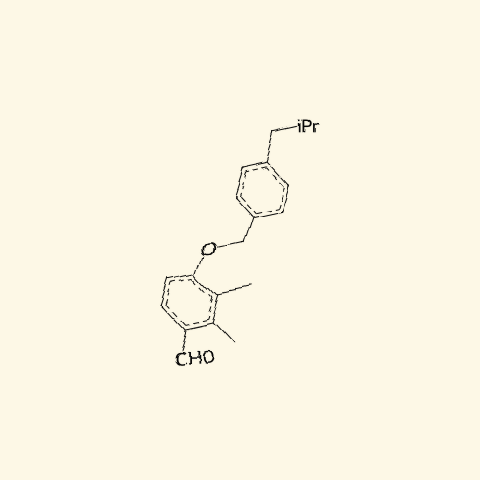 Cc1c(C=O)ccc(OCc2ccc(CC(C)C)cc2)c1C